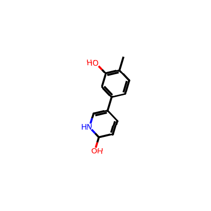 Cc1ccc(C2=CNC(O)C=C2)cc1O